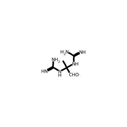 CC([C]=O)(NC(=N)N)NC(=N)N